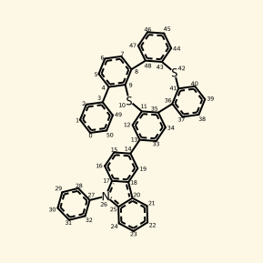 c1ccc(-c2cccc3c2Sc2cc(-c4ccc5c(c4)c4ccccc4n5-c4ccccc4)ccc2-c2ccccc2Sc2ccccc2-3)cc1